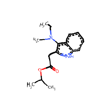 CCN(C)c1c(CC(=O)OC(C)C)[nH]c2ccccc12